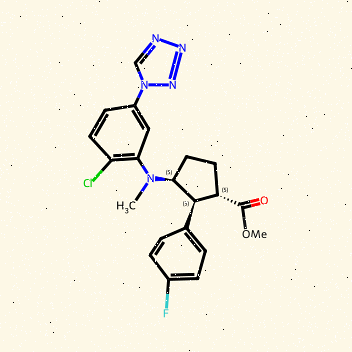 COC(=O)[C@H]1CC[C@H](N(C)c2cc(-n3cnnn3)ccc2Cl)[C@@H]1c1ccc(F)cc1